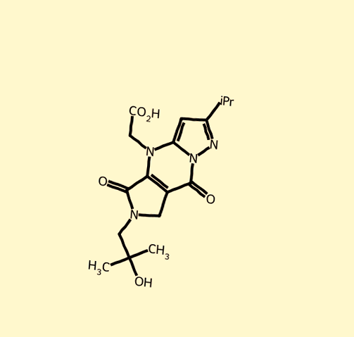 CC(C)c1cc2n(CC(=O)O)c3c(c(=O)n2n1)CN(CC(C)(C)O)C3=O